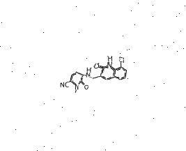 Cn1c(C#N)ccc(NCc2cc3cccc(Cl)c3[nH]c2=O)c1=O